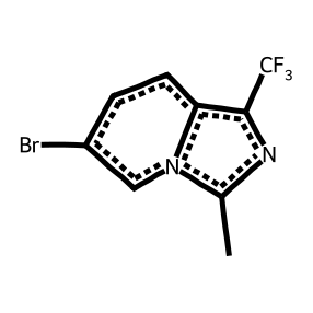 Cc1nc(C(F)(F)F)c2ccc(Br)cn12